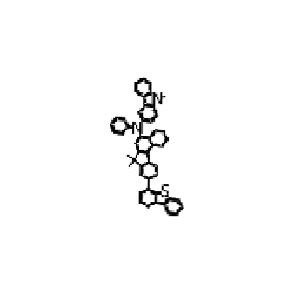 Cn1c2ccccc2c2cc(N(c3ccccc3)c3cc4c(c5ccccc35)-c3ccc(-c5cccc6c5sc5ccccc56)cc3C4(C)C)ccc21